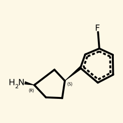 N[C@@H]1CC[C@H](c2cccc(F)c2)C1